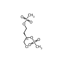 CS(=O)(=O)OCC[C@H](CCl)OS(C)(=O)=O